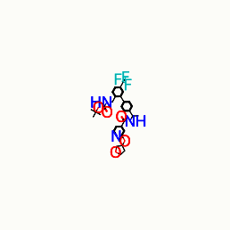 C[C@@H](NC(=O)c1ccnc(OC2CCOC2)c1)c1ccc(-c2cc(C(F)(F)F)ccc2CNC(=O)OC(C)(C)C)cc1